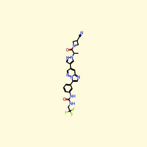 CC(C(=O)N1CC(C#N)C1)n1cc(-c2cnn3c(-c4cccc(NC(=O)NCC(F)(F)F)c4)cnc3c2)cn1